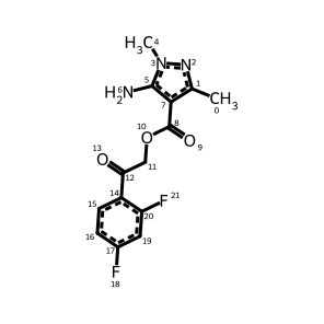 Cc1nn(C)c(N)c1C(=O)OCC(=O)c1ccc(F)cc1F